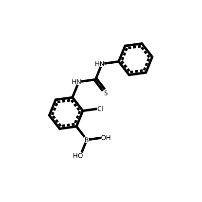 OB(O)c1cccc(NC(=S)Nc2ccccc2)c1Cl